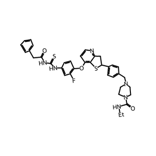 CCNC(=O)N1CCN(Cc2ccc(C3Cc4nccc(Oc5ccc(NC(=S)NC(=O)Cc6ccccc6)cc5F)c4S3)cc2)CC1